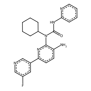 Nc1ccc(-c2cncc(F)c2)nc1N(C(=O)Nc1ccccn1)C1CCCCC1